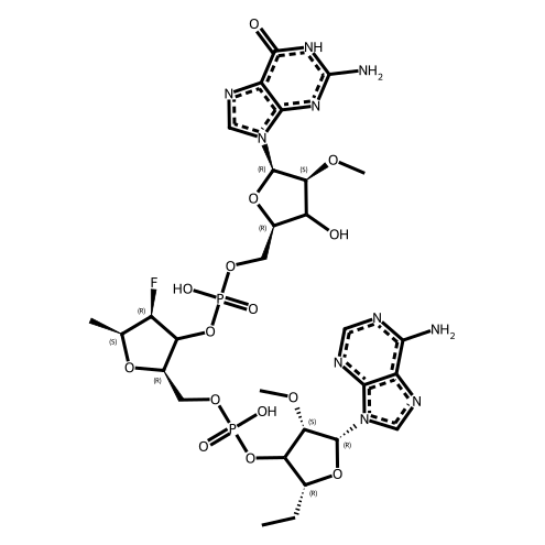 CC[C@H]1O[C@@H](n2cnc3c(N)ncnc32)[C@@H](OC)C1OP(=O)(O)OC[C@H]1O[C@@H](C)[C@@H](F)C1OP(=O)(O)OC[C@H]1O[C@@H](n2cnc3c(=O)[nH]c(N)nc32)[C@@H](OC)C1O